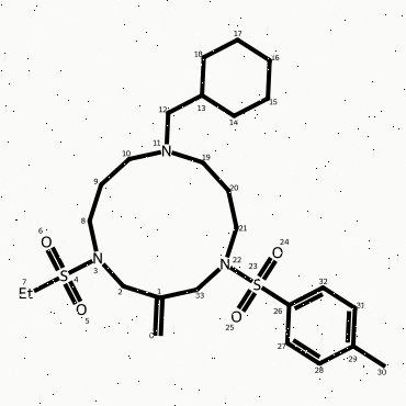 C=C1CN(S(=O)(=O)CC)CCCN(CC2CCCCC2)CCCN(S(=O)(=O)c2ccc(C)cc2)C1